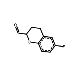 O=CC1CCc2cc(F)ccc2O1